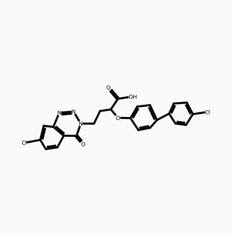 O=C(O)C(CCn1nnc2cc(Cl)ccc2c1=O)Oc1ccc(-c2ccc(Cl)cc2)cc1